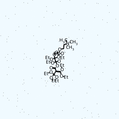 CCOC(OCC)=C(C(=O)OC(OCC)(OCC)C(OCC)(OCC)OP(=O)([O-])OCC[N+](C)(C)C)C(OCC)(OCC)OCC